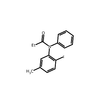 CCC(=O)N(c1ccccc1)c1cc(C)ccc1I